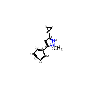 Cn1nc(C2CC2)cc1-c1ccccc1